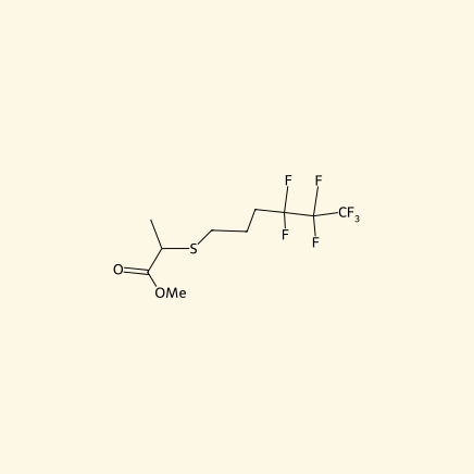 COC(=O)C(C)SCCCC(F)(F)C(F)(F)C(F)(F)F